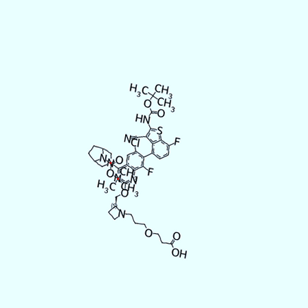 CC(C)(C)OC(=O)Nc1sc2c(F)ccc(-c3c(Cl)cc4c(N5CC6CCC(C5)N6C(=O)OC(C)(C)C)nc(OC[C@@H]5CCN5CCCOCCC(=O)O)nc4c3F)c2c1C#N